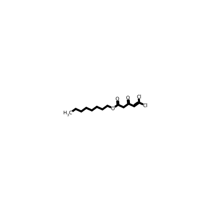 CCCCCCCCOC(=O)CC(=O)C=C(Cl)Cl